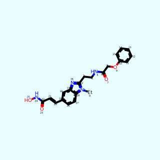 CCn1c(CCNC(=O)COc2ccccc2)nc2cc(C=CC(=O)NO)ccc21